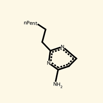 CCCCCCCc1nccc(N)n1